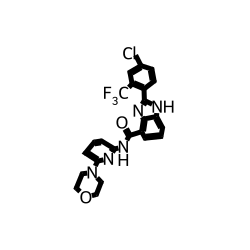 O=C(Nc1cccc(N2CCOCC2)n1)c1cccc2[nH]c(-c3ccc(Cl)cc3C(F)(F)F)nc12